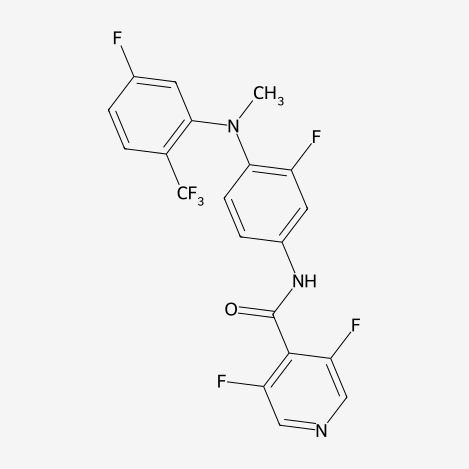 CN(c1ccc(NC(=O)c2c(F)cncc2F)cc1F)c1cc(F)ccc1C(F)(F)F